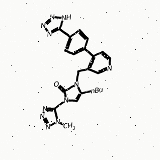 CCCCc1cn(-c2nnnn2C)c(=O)n1Cc1cnccc1-c1ccc(-c2nnn[nH]2)cc1